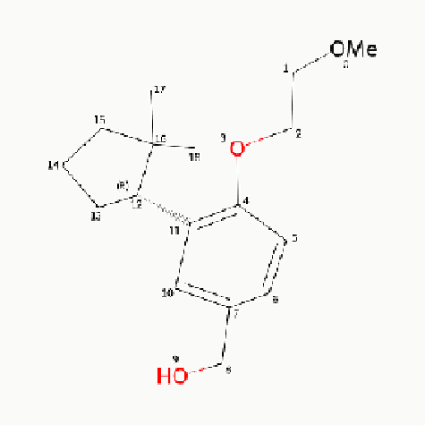 COCCOc1ccc(CO)cc1[C@@H]1CCCC1(C)C